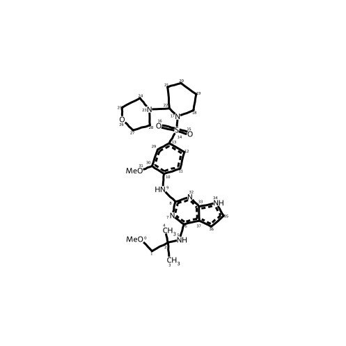 COCC(C)(C)Nc1nc(Nc2ccc(S(=O)(=O)N3CCCCC3N3CCOCC3)cc2OC)nc2[nH]ccc12